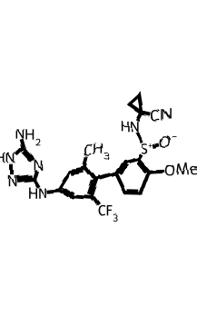 COc1ccc(-c2c(C)cc(Nc3n[nH]c(N)n3)cc2C(F)(F)F)cc1[S+]([O-])NC1(C#N)CC1